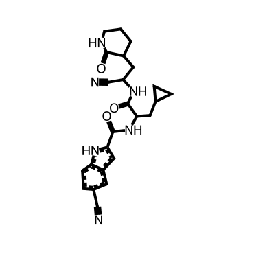 N#Cc1ccc2[nH]c(C(=O)NC(CC3CC3)C(=O)NC(C#N)CC3CCCNC3=O)cc2c1